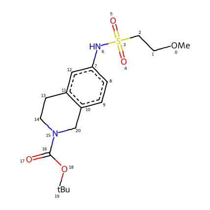 COCCS(=O)(=O)Nc1ccc2c(c1)CCN(C(=O)OC(C)(C)C)C2